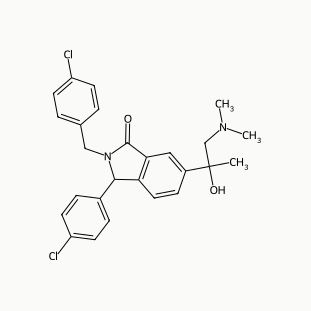 CN(C)CC(C)(O)c1ccc2c(c1)C(=O)N(Cc1ccc(Cl)cc1)C2c1ccc(Cl)cc1